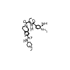 CC[C@@H](NC(=O)c1ccc(N)c(C=N)c1)C(=O)N1CCc2sc(C(=O)NC3CCN(CC)CC3)cc2C1